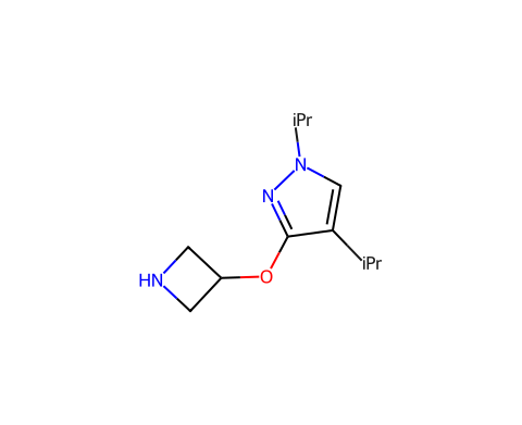 CC(C)c1cn(C(C)C)nc1OC1CNC1